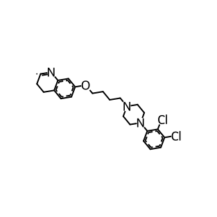 Clc1cccc(N2CCN(CCCCOc3ccc4c(c3)N=[C]CC4)CC2)c1Cl